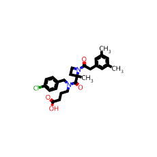 Cc1cc(C)cc(CC(=O)N2CCC2(C)C(=O)N(CCCC(=O)O)Cc2ccc(Cl)cc2)c1